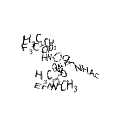 CCn1nc(C)c(S(=O)(=O)N2C[C@H](CNC(C)=O)Oc3ccc(NC(=O)OC(C)(C)C(F)(F)F)cc32)c1C